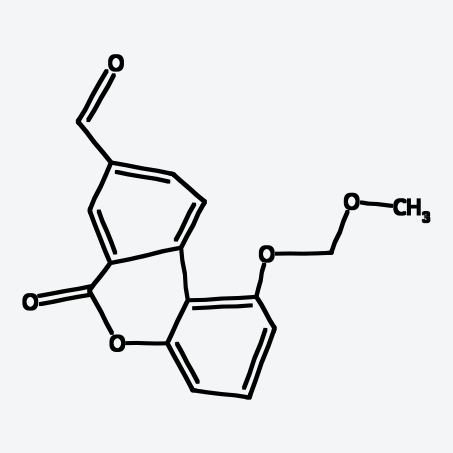 COCOc1cccc2oc(=O)c3cc(C=O)ccc3c12